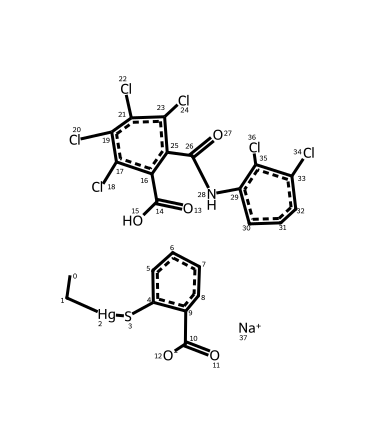 C[CH2][Hg][S]c1ccccc1C(=O)[O-].O=C(O)c1c(Cl)c(Cl)c(Cl)c(Cl)c1C(=O)Nc1cccc(Cl)c1Cl.[Na+]